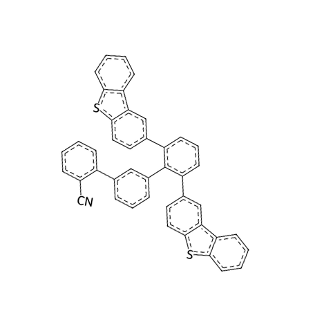 N#Cc1ccccc1-c1cccc(-c2c(-c3ccc4sc5ccccc5c4c3)cccc2-c2ccc3sc4ccccc4c3c2)c1